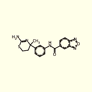 CC1(c2cccc(NC(=O)c3ccc4nonc4c3)c2)CCSC(N)=N1